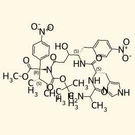 CC[C@H](C)[C@](C(=O)OC)(c1ccc([N+](=O)[O-])cc1)N(C(=O)CC(O)[C@H](Cc1ccc([N+](=O)[O-])cc1)NC(=O)[C@H](Cc1c[nH]cn1)NC(=O)C(C)N)C(=O)OC(C)(C)C